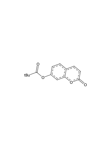 CC(C)(C)C(=O)Oc1ccc2ccc(=O)oc2c1